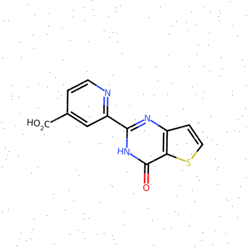 O=C(O)c1ccnc(-c2nc3ccsc3c(=O)[nH]2)c1